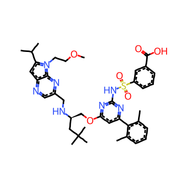 COCCn1c(C(C)C)cc2ncc(CN[C@@H](COc3cc(-c4c(C)cccc4C)nc(NS(=O)(=O)c4cccc(C(=O)O)c4)n3)CC(C)(C)C)nc21